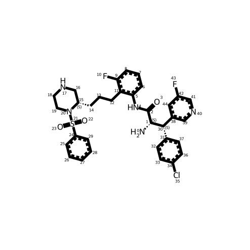 N[C@H](C(=O)Nc1cccc(F)c1CCC[C@H]1CNCCN1S(=O)(=O)c1ccccc1)[C@@H](c1ccc(Cl)cc1)c1cncc(F)c1